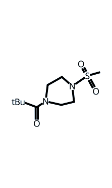 CC(C)(C)C(=O)N1CCN(S(C)(=O)=O)CC1